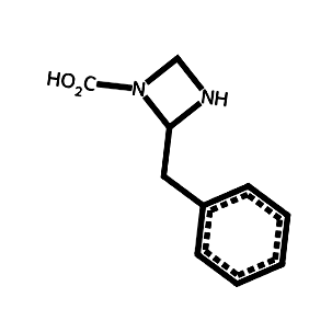 O=C(O)N1CNC1Cc1ccccc1